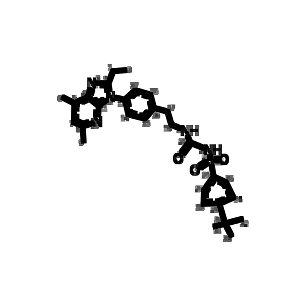 CCc1nc2c(C)cc(C)nc2n1-c1ccc(CCNC(=O)NS(=O)(=O)c2ccc(C(C)(C)C)cc2)cc1